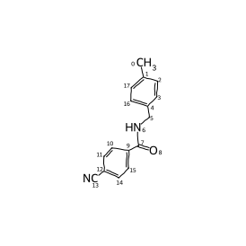 Cc1ccc(CNC(=O)c2ccc(C#N)cc2)cc1